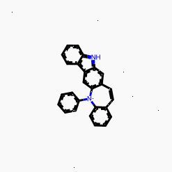 C1=Cc2cc3[nH]c4ccccc4c3cc2N(c2ccccc2)c2ccccc21